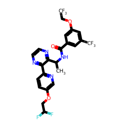 CC(NC(=O)c1cc(OCC(F)(F)F)cc(C(F)(F)F)c1)c1nccnc1-c1ccc(OCC(F)F)cn1